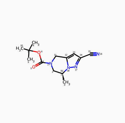 C[C@H]1CN(C(=O)OC(C)(C)C)Cc2cc(C#N)nn21